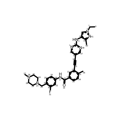 CCn1cc(Nc2ncc(C#Cc3cc(C(=O)Nc4ccc(CN5CCN(C)CC5)c(F)c4)ccc3C)cn2)c(C)n1